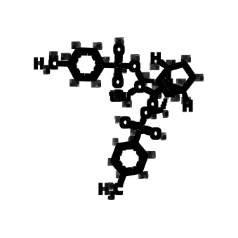 Cc1ccc(S(=O)(=O)OC[C@@H]2[C@H](COS(=O)(=O)c3ccc(C)cc3)[C@@H]3CC[C@H]2N3C(=O)OC(C)(C)C)cc1